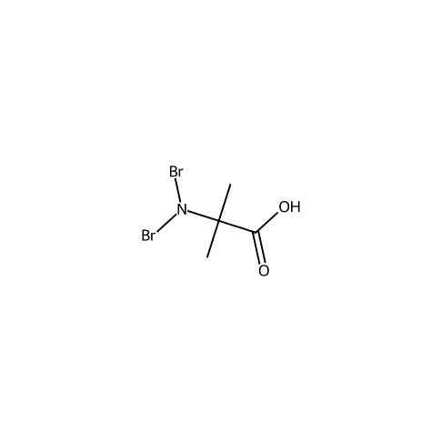 CC(C)(C(=O)O)N(Br)Br